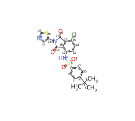 CC(C)(C)c1ccc(S(=O)(=O)Nc2ccc(Cl)c3c2C(=O)N(c2cncs2)C3=O)cc1